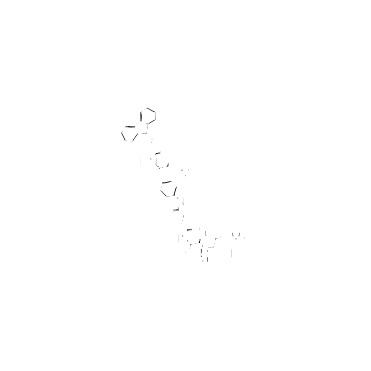 COC(=O)C(C)NC(=O)C(C)NC(=O)CCC(=O)Nc1ccc(C[C@H](NC(=O)OCC2c3ccccc3-c3ccccc32)C(=O)OC)cc1